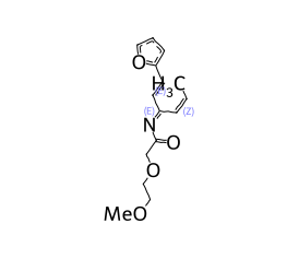 C\C=C/C(/C=C/c1ccco1)=N\C(=O)COCCOC